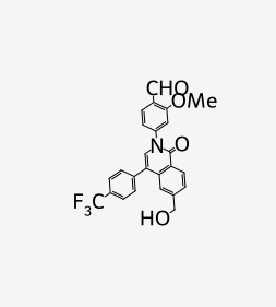 COc1cc(-n2cc(-c3ccc(C(F)(F)F)cc3)c3cc(CO)ccc3c2=O)ccc1C=O